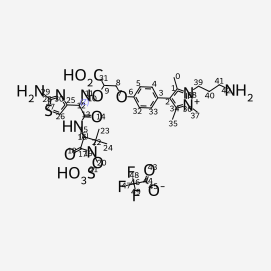 Cc1c(-c2ccc(OCC(O/N=C(\C(=O)N[C@@H]3C(=O)N(OS(=O)(=O)O)C3(C)C)c3csc(N)n3)C(=O)O)cc2)c(C)[n+](C)n1CCCN.O=C([O-])C(F)(F)F